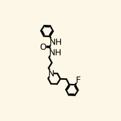 O=C(NCCCN1CCCC(Cc2ccccc2F)C1)Nc1ccccc1